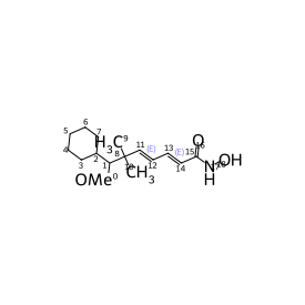 COC(C1CCCCC1)C(C)(C)/C=C/C=C/C(=O)NO